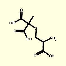 CC(SCC(N)C(=O)O)(C(=O)O)C(=O)O